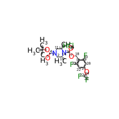 C[C@@H]1CN(C(=O)OC(C)(C)C)C[C@H](C)N1C(=O)OCc1c(F)cc(OC(F)F)cc1F.Cl